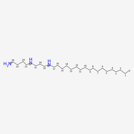 CCCCCCCCCCCCCCCCCCNCCCNCCCCN